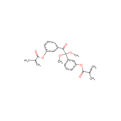 C=C(C)C(=O)Oc1cccc(C(=O)C(OC)(OC)c2cccc(OC(=O)C(=C)C)c2)c1